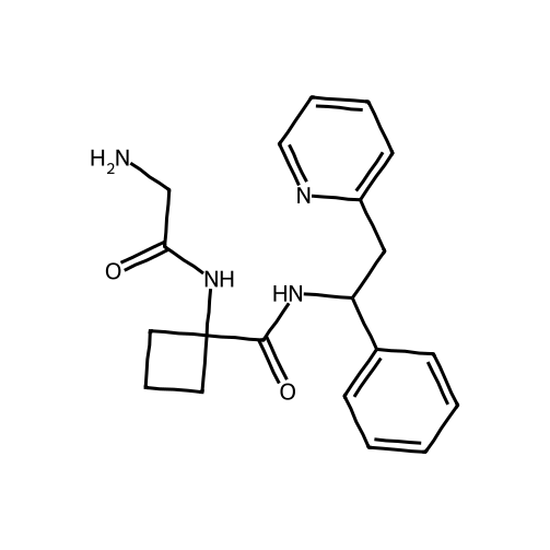 NCC(=O)NC1(C(=O)NC(Cc2ccccn2)c2ccccc2)CCC1